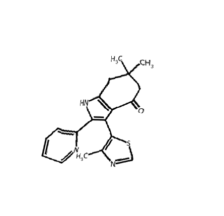 Cc1ncsc1-c1c(-c2ccccn2)[nH]c2c1C(=O)CC(C)(C)C2